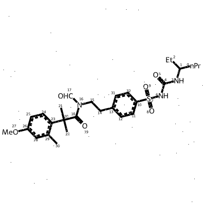 CCCC(CC)NC(=O)NS(=O)(=O)c1ccc(CCN(C=O)C(=O)C(C)(C)c2ccc(OC)cc2C)cc1